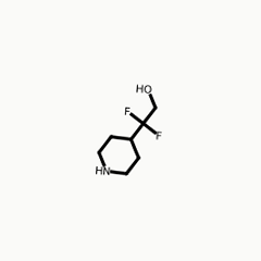 OCC(F)(F)C1CCNCC1